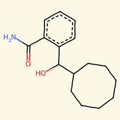 NC(=O)c1ccccc1C(O)C1CCCCCCC1